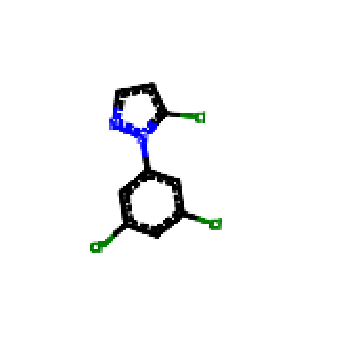 Clc1cc(Cl)cc(-n2nc[c]c2Cl)c1